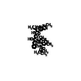 CCC(C)C(NC(=O)CCC(O)C(Cc1ccccc1)NC(=O)C(NC(=O)C(CC(C)C)NC(=O)OC(C)(C)C)C(C)C)C(=O)NCc1cnc(C)nc1N